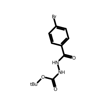 CC(C)(C)OC(=O)NNC(=O)c1ccc(Br)cc1